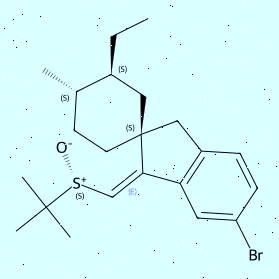 CC[C@H]1C[C@@]2(CC[C@@H]1C)Cc1ccc(Br)cc1/C2=C/[S@@+]([O-])C(C)(C)C